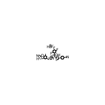 Br.CNCC(=O)Oc1c(C)cc(C[n+]2cnn(C[C@](O)(c3cc(F)c(F)cc3F)[C@@H](C)c3nc(-c4ccc(C#N)cc4)cs3)c2)cc1C.[Br-]